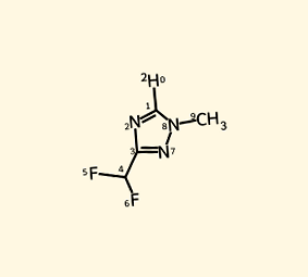 [2H]c1nc(C(F)F)nn1C